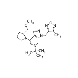 COC[C@H]1CCCN1C1=CN(C(C)(C)C)Cc2c1cnn2Cc1nonc1C